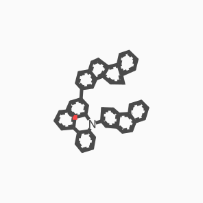 c1ccc(-c2ccccc2N(c2cccc(-c3ccc4ccc5c6ccccc6ccc5c4c3)c2)c2ccc3c(ccc4ccccc43)c2)cc1